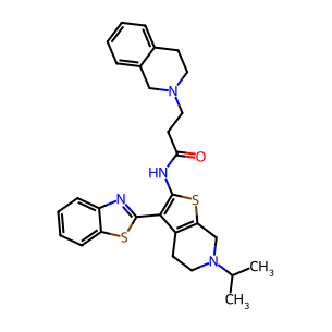 CC(C)N1CCc2c(sc(NC(=O)CCN3CCc4ccccc4C3)c2-c2nc3ccccc3s2)C1